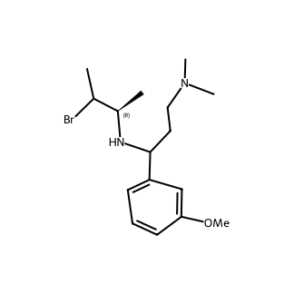 COc1cccc(C(CCN(C)C)N[C@H](C)C(C)Br)c1